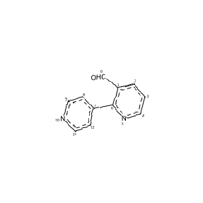 O=Cc1cccnc1-c1ccncc1